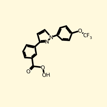 O=C(OO)c1cccc(-c2ccn(-c3ccc(OC(F)(F)F)cc3)n2)c1